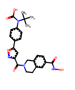 CC(C)(C)N(C(=O)O)c1ccc(-c2cc(C(=O)N3CCc4cc(C(=O)NO)ccc4C3)no2)cc1